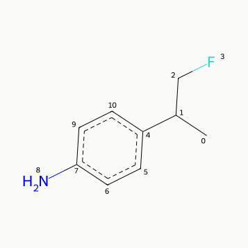 CC(CF)c1ccc(N)cc1